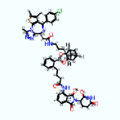 Cc1sc2c(c1C)C(c1ccc(Cl)cc1)=N[C@@H](CC(=O)NCCC[C@]13OB(c4ccccc4CCCC(=O)Nc4cccc5c4C(=O)N(C4CCC(=O)NC4=O)C5=O)O[C@@H]1C[C@H]1C[C@@H]3C1(C)C)c1nnc(C)n1-2